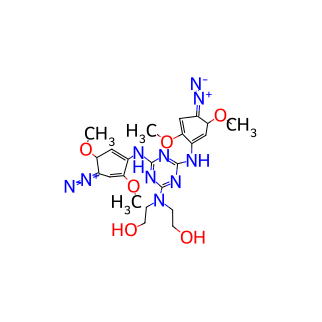 COC1=CC(=[N+]=[N-])C(OC)C=C1Nc1nc(NC2=CC(OC)C(=[N+]=[N-])C=C2OC)nc(N(CCO)CCO)n1